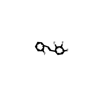 Fc1ccccc1C=Cc1ccc(F)c(F)c1F